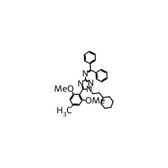 COc1cc(C)cc(OC)c1-c1nc(N=C(c2ccccc2)c2ccccc2)nn1CCC1CCCCC1